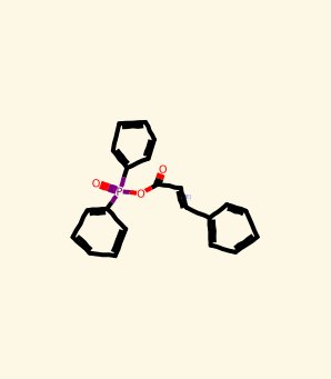 O=C(/C=C/c1ccccc1)OP(=O)(c1ccccc1)c1ccccc1